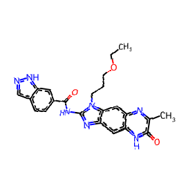 CCOCCCn1c(NC(=O)c2ccc3cn[nH]c3c2)nc2cc3[nH]c(=O)c(C)nc3cc21